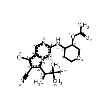 CC(=O)OC1COCCC1Nc1ncc2c(Cl)c(C#N)c(C(C)C(C)(C)F)n2n1